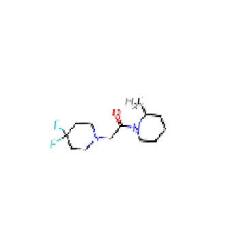 CC1CCCCN1C(=O)CN1CCC(F)(F)CC1